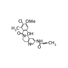 CC#CC(=O)Nc1cnc2c(c1)CN(C(=O)c1c(O)cc(OC)c(Cl)c1C)CC2